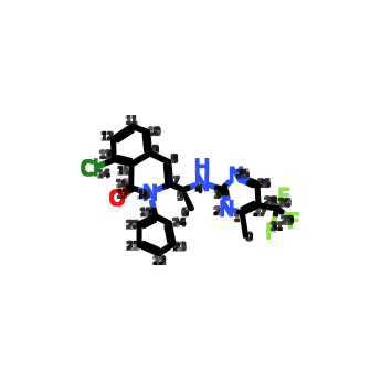 Cc1nc(N[C@@H](C)c2cc3cccc(Cl)c3c(=O)n2-c2ccccc2)ncc1C(F)(F)F